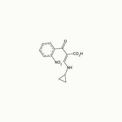 O=C(O)C(=CNC1CC1)C(=O)c1ccccc1[N+](=O)[O-]